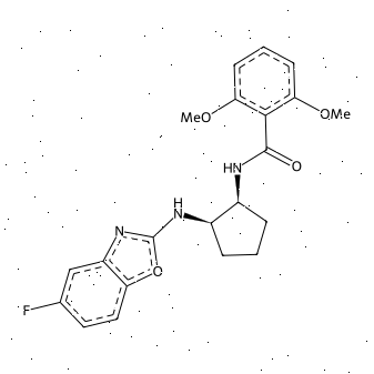 COc1cccc(OC)c1C(=O)N[C@H]1CCC[C@H]1Nc1nc2cc(F)ccc2o1